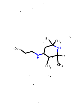 CCCCCCCCCCCCNC1CC(C)(CC)NC(C)(CC)C1C